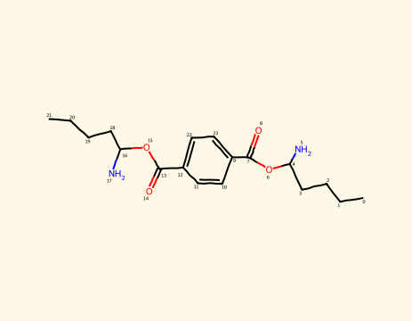 CCCCC(N)OC(=O)c1ccc(C(=O)OC(N)CCCC)cc1